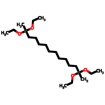 CCO[Si](C)(CCCCCCCCCC[Si](C)(OCC)OCC)OCC